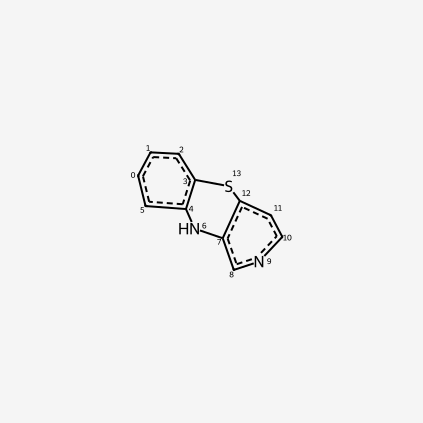 c1ccc2c(c1)Nc1cnccc1S2